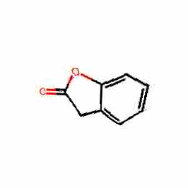 O=C1Cc2c[c]ccc2O1